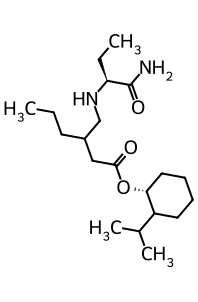 CCCC(CN[C@@H](CC)C(N)=O)CC(=O)O[C@@H]1CCCCC1C(C)C